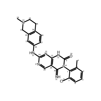 Cc1cccc(Cl)c1-n1c(=O)[nH]c2nc(Nc3ccc4c(c3)CN(C)CC4)ncc2c1=N